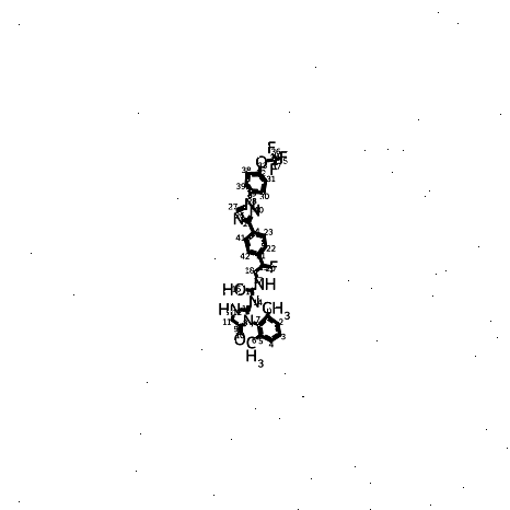 Cc1cccc(C)c1N1C(=O)CN/C1=N\C(O)NCC(F)c1ccc(-c2ncn(-c3ccc(OC(F)(F)F)cc3)n2)cc1